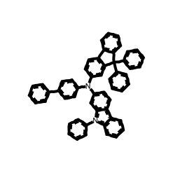 c1ccc(-c2ccc(N(c3ccc4c(c3)C(c3ccccc3)(c3ccccc3)c3ccccc3-4)c3ccc4c5ccccc5n(-c5ccccc5)c4c3)cc2)cc1